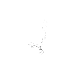 CC/C=C\C/C=C\C/C=C\C/C=C\C/C=C\CCCC(=O)NCCSSCCNP(=O)(OC[C@H]1OC(n2cc(F)c(=O)[nH]c2=O)C[C@@H]1O)Oc1cccc2ccccc12